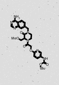 COCC1C(=O)N(Cc2ccc3c(N)ncnc3c2)CCN1C(=O)COc1ccc(NC(=O)OC(C)(C)C)cn1